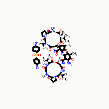 Cc1c2oc3c(C)ccc(C(=O)N[C@@H]4C(=O)N[C@H](C(C)C)C(=O)N5CCC[C@H]5C(=O)N(C)CC(=O)N(C)[C@@H](C(C)C)C(=O)O[C@@H]4C)c3nc-2c(C(=O)N[C@@H]2C(=O)N[C@H](C(C)C)C(=O)N3CCC[C@H]3C(=O)N(C)CC(=O)N(C)[C@@H](C(C)C)C(=O)O[C@@H]2C)c(N)c1=O.Nc1ccc(S(=O)(=O)c2ccc(N)cc2)cc1